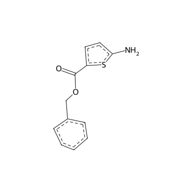 Nc1ccc(C(=O)OCc2ccccc2)s1